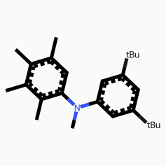 Cc1cc(N(C)c2cc(C(C)(C)C)cc(C(C)(C)C)c2)c(C)c(C)c1C